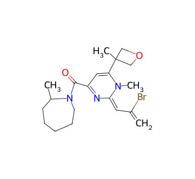 C=C(Br)/C=C1/N=C(C(=O)N2CCCCCC2C)C=C(C2(C)COC2)N1C